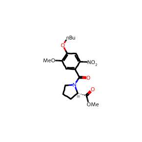 CCCCOc1cc([N+](=O)[O-])c(C(=O)N2CCC[C@H]2C(=O)OC)cc1OC